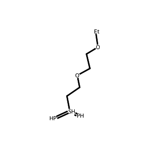 CCOCCOCC[SH](=P)=P